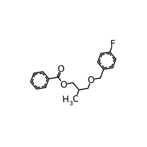 CC(COCc1ccc(F)cc1)COC(=O)c1ccccc1